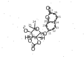 CO[C@@H]1[C@H]2OC(=O)O[C@H]2[C@H](Oc2ccc3ccc(=O)oc3c2)OC1(C)C